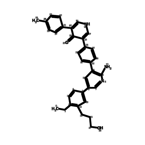 CCc1ccc(-c2cnc(N)c(-c3ccc(-c4c[nH]cc(-c5ccc(C)cc5)c4=O)cc3)c2)cc1CCCO